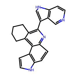 c1cc2[nH]cc(-c3nc4ccc5[nH]ccc5c4c4c3CCCC4)c2cn1